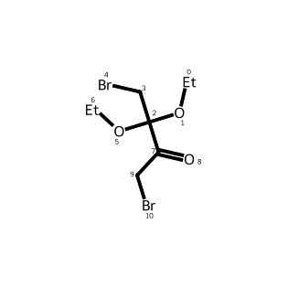 CCOC(CBr)(OCC)C(=O)CBr